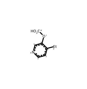 CCc1ccncc1OC(=O)O